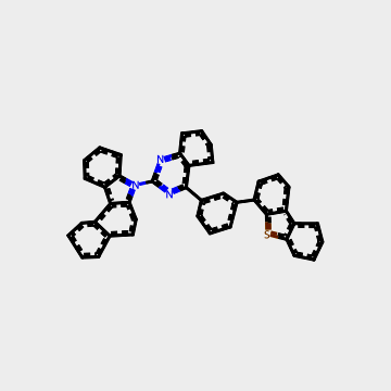 c1cc(-c2nc(-n3c4ccccc4c4c5ccccc5ccc43)nc3ccccc23)cc(-c2cccc3c2sc2ccccc23)c1